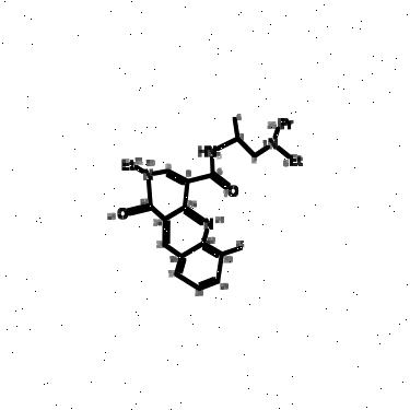 CCN(CC(C)NC(=O)c1cn(CC)c(=O)c2cc3cccc(C)c3nc12)C(C)C